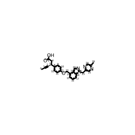 CC#C[C@@H](CC(=O)O)c1ccc(OCc2cccc3c2cnn3Cc2cnc(C)cn2)cc1